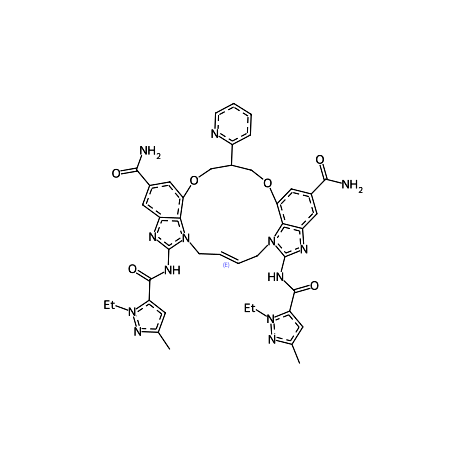 CCn1nc(C)cc1C(=O)Nc1nc2cc(C(N)=O)cc3c2n1C/C=C/Cn1c(NC(=O)c2cc(C)nn2CC)nc2cc(C(N)=O)cc(c21)OCC(c1ccccn1)CO3